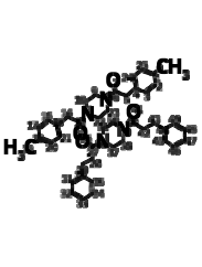 Cc1ccc(CC(=O)N2CCN(C(=O)Cc3ccc(C)cc3)CC2)cc1.O=C(CCc1ccccc1)N1CCN(C(=O)CCc2ccccc2)CC1